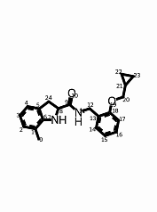 Cc1cccc2c1NC(C(=O)NCc1ccccc1OCC1CC1)C2